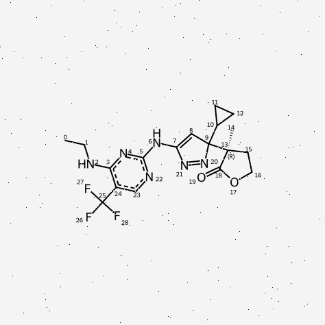 CCNc1nc(NC2=CC(C3CC3)([C@@]3(C)CCOC3=O)N=N2)ncc1C(F)(F)F